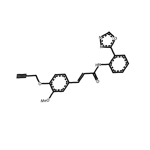 C#CCOc1ccc(/C=C/C(=O)Nc2ccccc2-c2nnco2)cc1OC